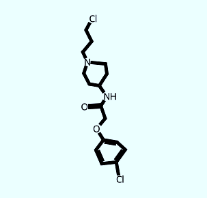 O=C(COc1ccc(Cl)cc1)NC1CCN(CCCCl)CC1